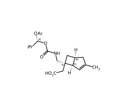 CC(=O)O[C@H](OC(=O)NC[C@]1(CC(=O)O)C[C@H]2CC(C)=C[C@H]21)C(C)C